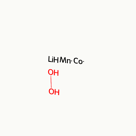 OO.[Co].[LiH].[Mn]